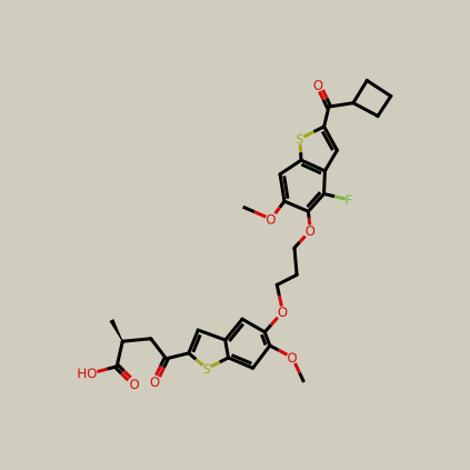 COc1cc2sc(C(=O)C[C@H](C)C(=O)O)cc2cc1OCCCOc1c(OC)cc2sc(C(=O)C3CCC3)cc2c1F